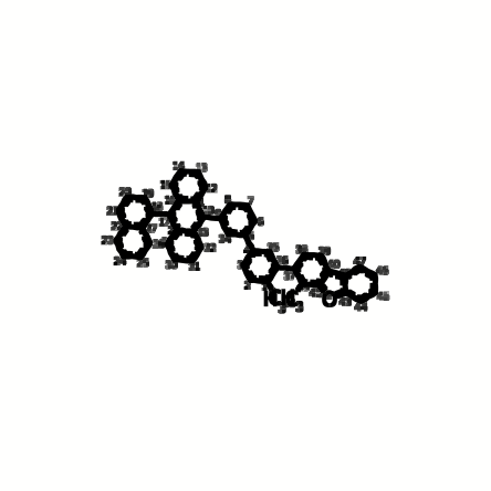 Cc1ccc(-c2cccc(-c3c4ccccc4c(-c4cccc5ccccc45)c4ccccc34)c2)cc1-c1ccc2c(oc3ccccc32)c1C